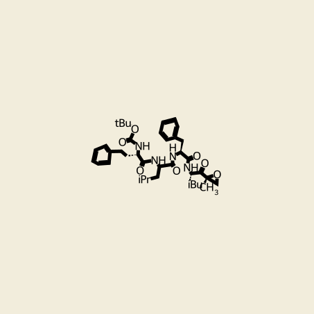 CCC(C)[C@H](NC(=O)[C@H](Cc1ccccc1)NC(=O)C(CC(C)C)NC(=O)[C@H](CCc1ccccc1)NC(=O)OC(C)(C)C)C(=O)[C@@]1(C)CO1